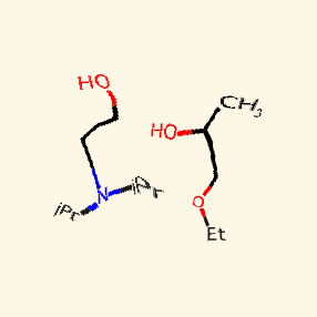 CC(C)N(CCO)C(C)C.CCOCC(C)O